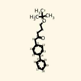 CC(C)(C)OCCCC(=O)Cc1ccc(-c2ccccc2)cc1